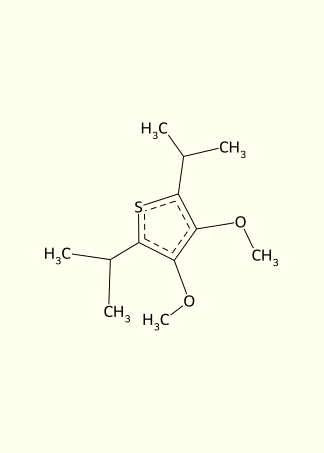 COc1c(C(C)C)sc(C(C)C)c1OC